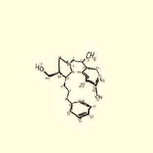 CC(CN1C[C@@H](CCCc2ccccc2)[C@@H](CO)C1)c1ccc(O)nc1